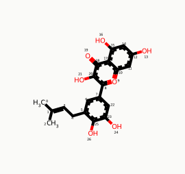 CC(C)=CCc1cc(-c2oc3cc(O)cc(O)c3c(=O)c2O)cc(O)c1O